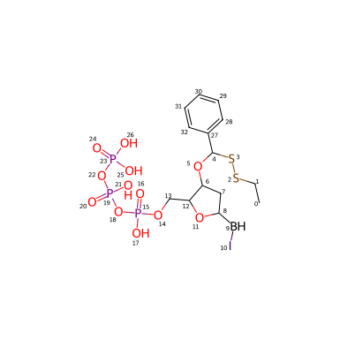 CCSSC(OC1CC(BI)OC1COP(=O)(O)OP(=O)(O)OP(=O)(O)O)c1ccccc1